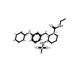 CCNC(=O)N1CCC[C@@H](NS(C)(=O)=O)[C@H]1Cc1cccc(OC2CCCCC2)c1